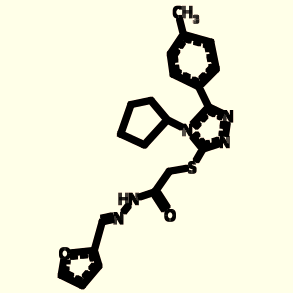 Cc1ccc(-c2nnc(SCC(=O)N/N=C/c3ccco3)n2C2CCCC2)cc1